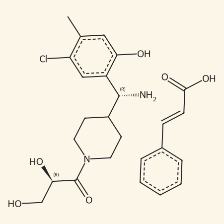 Cc1cc(O)c([C@H](N)C2CCN(C(=O)[C@H](O)CO)CC2)cc1Cl.O=C(O)C=Cc1ccccc1